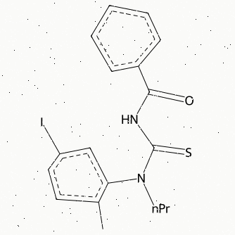 CCCN(C(=S)NC(=O)c1ccccc1)c1cc(I)ccc1C